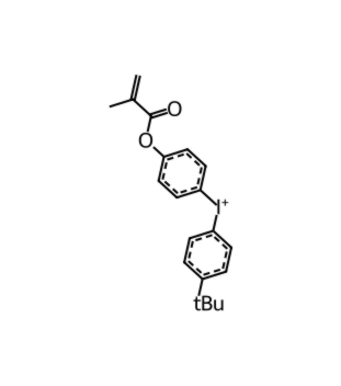 C=C(C)C(=O)Oc1ccc([I+]c2ccc(C(C)(C)C)cc2)cc1